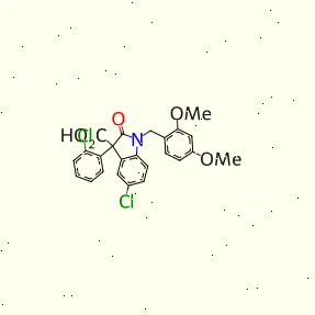 COc1ccc(CN2C(=O)C(C(=O)O)(c3ccccc3Cl)c3cc(Cl)ccc32)c(OC)c1